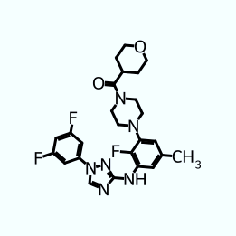 Cc1cc(Nc2ncn(-c3cc(F)cc(F)c3)n2)c(F)c(N2CCN(C(=O)C3CCOCC3)CC2)c1